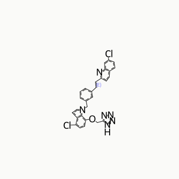 Clc1ccc2ccc(/C=C/c3cccc(Cn4ccc5c(Cl)ccc(OCc6nnn[nH]6)c54)c3)nc2c1